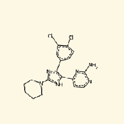 Nc1nccc(-c2[nH]c(N3CCCCC3)nc2-c2ccc(Cl)c(Cl)c2)n1